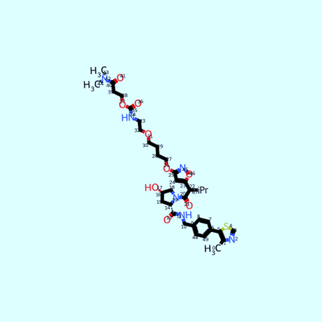 Cc1ncsc1-c1ccc(CNC(=O)[C@@H]2C[C@@H](O)CN2C(=O)C(c2cc(OCCCCOCCNC(=O)OCCC(=O)N(C)C)no2)C(C)C)cc1